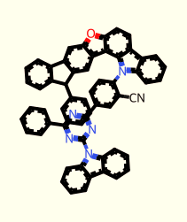 N#Cc1cc(-c2nc(-c3ccccc3)nc(-n3c4ccccc4c4ccccc43)n2)ccc1-n1c2ccccc2c2ccc3oc4cc5c(cc4c3c21)C(c1ccccc1)c1ccccc1-5